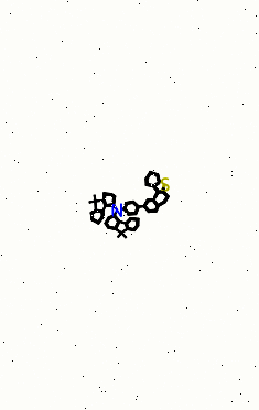 CC1(C)c2ccccc2-c2c(N(c3ccc(-c4ccc5ccc6sc7ccccc7c6c5c4)cc3)c3cccc4c3-c3ccccc3C4(C)C)cccc21